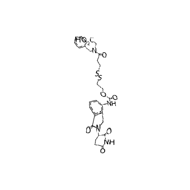 O=C(O)CN(Cc1ccccc1)C(=O)CCSSCCOC(=O)Nc1cccc2c1CN(C1CCC(=O)NC1=O)C2=O